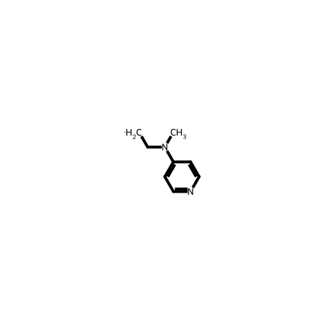 [CH2]CN(C)c1ccncc1